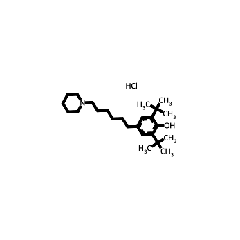 CC(C)(C)c1cc(CCCCCCN2CCCCC2)cc(C(C)(C)C)c1O.Cl